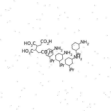 CC(C)C1CCCC(N)C1.CC(C)C1CCCC(N)C1.CC(C)C1CCCC(N)C1.CC(C)C1CCCC(N)C1.O=C(O)CC(C(=O)O)C(CC(=O)O)C(=O)O